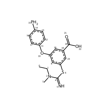 CCN(C)C(=N)Sc1cc(Oc2ccc(P)cc2)cc(C(=O)O)c1